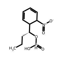 CCC[C@@H](O[PH](=O)O)C1C=CC=CC1[N+](=O)[O-]